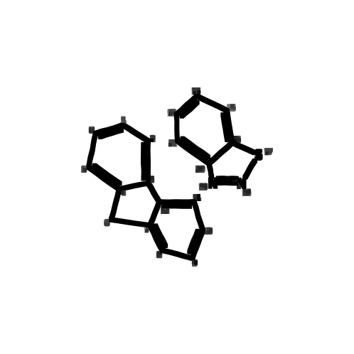 c1ccc2c(c1)Cc1ccccc1-2.c1ccc2snnc2c1